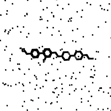 CCC[C@H]1CC[C@H]([C@H]2CC[C@H](CCc3ccc(-c4ccc(CCl)cc4)c(F)c3)CC2)CC1